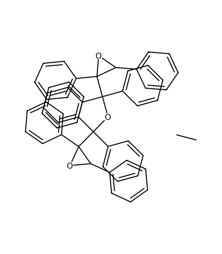 CC.c1ccc(C2OC2(c2ccccc2)C(OC(c2ccccc2)(c2ccccc2)C2(c3ccccc3)OC2c2ccccc2)(c2ccccc2)c2ccccc2)cc1